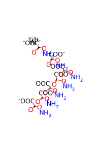 NOC(=O)C(=O)[O-].NOC(=O)C(=O)[O-].NOC(=O)C(=O)[O-].NOC(=O)C(=O)[O-].NOC(=O)C(=O)[O-].NOC(=O)C(=O)[O-].NOC(=O)C(=O)[O-].[Al+3].[Ti+4]